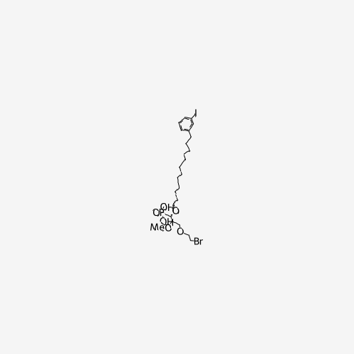 COC(COCCBr)C(OCCCCCCCCCCCCc1cccc(I)c1)P(=O)(O)O